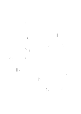 Cc1ccc(NC(=O)Nc2ccc(Oc3cc(N4CCC(NC(=O)OC(C)(C)C)CC4)ncn3)cc2)cc1C(F)(F)F